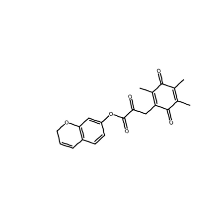 CC1=C(C)C(=O)C(CC(=O)C(=O)Oc2ccc3c(c2)OCC=C3)=C(C)C1=O